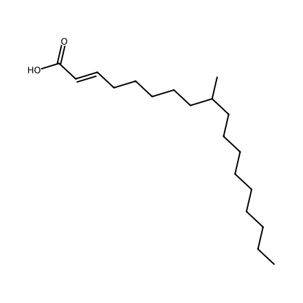 CCCCCCCCCC(C)CCCCCC=CC(=O)O